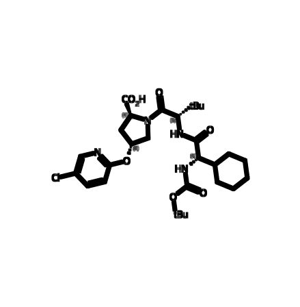 CC(C)(C)OC(=O)N[C@H](C(=O)N[C@H](C(=O)N1C[C@H](Oc2ccc(Cl)cn2)C[C@H]1C(=O)O)C(C)(C)C)C1CCCCC1